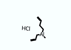 C=CC[CH2][Al]([CH3])[CH2]C=C.Cl